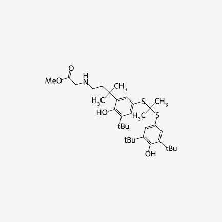 COC(=O)CNCCC(C)(C)c1cc(SC(C)(C)Sc2cc(C(C)(C)C)c(O)c(C(C)(C)C)c2)cc(C(C)(C)C)c1O